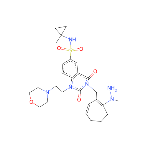 CN(N)C1=C(Cn2c(=O)c3cc(S(=O)(=O)NC4(C)CC4)ccc3n(CCN3CCOCC3)c2=O)C=CCCC1